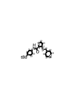 CC(C)(C)c1ccc(NC(=O)c2sccc2SCc2ccncc2)cc1